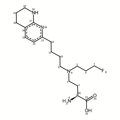 N[C@@H](CCN(CCCF)CCCCc1ccc2c(n1)NCCC2)C(=O)O